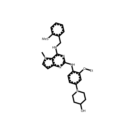 CCOc1cc(N2CCC(O)CC2)ccc1Nc1nc(NCc2ccccc2SC)c2c(ccn2C)n1